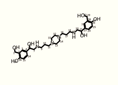 OCc1cc(C(O)CNCCCN2CCN(CCCNCC(O)c3ccc(O)c(CO)c3)CC2)ccc1O